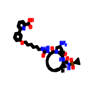 N[C@@H]1C[C@H]2C(=O)N[C@]3(C(=O)NS(=O)(=O)C4CC4)C[C@H]3/C=C\CCCCC[C@H](NC(=O)NCCCCCCOc3cccc(-c4cccc(C(=O)O)n4)c3)C(=O)N2C1